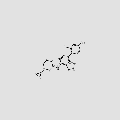 Oc1cc(C(F)(F)F)ccc1-c1nnc(N[C@@H]2CCCN(C3CC3)C2)c2c1CSC2